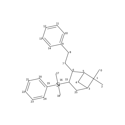 CC1(C)C2CC1C(CCc1ccccc1)C([Si](C)(C)c1ccccc1)C2